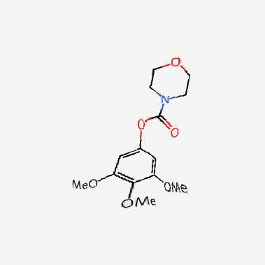 COc1cc(OC(=O)N2CCOCC2)cc(OC)c1OC